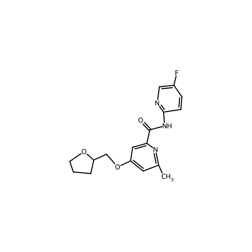 Cc1cc(OCC2CCCO2)cc(C(=O)Nc2ccc(F)cn2)n1